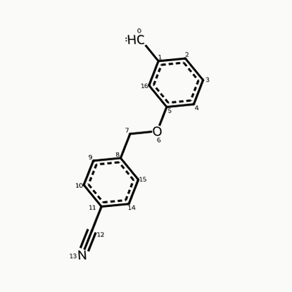 [CH]c1cccc(OCc2ccc(C#N)cc2)c1